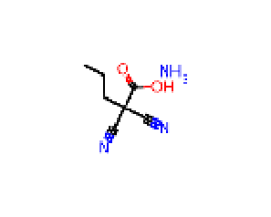 CCCC(C#N)(C#N)C(=O)O.N